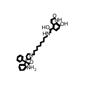 NC(=O)C(c1ccccc1)(c1ccccc1)[C@@H]1CCN(CCCCCCCCCNC[C@@H](O)c2ccc(O)c3[nH]c(=O)ccc23)C1